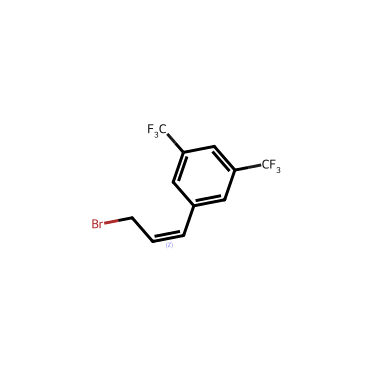 FC(F)(F)c1cc(/C=C\CBr)cc(C(F)(F)F)c1